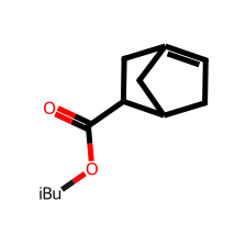 CCC(C)OC(=O)C1CC2=CCC1C2